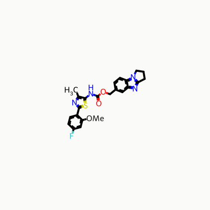 COc1cc(F)ccc1-c1nc(C)c(NC(=O)OCc2ccc3c(c2)nc2n3CCC2)s1